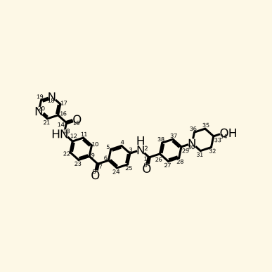 O=C(Nc1ccc(C(=O)c2ccc(NC(=O)c3cncnc3)cc2)cc1)c1ccc(N2CCC(O)CC2)cc1